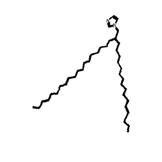 CCCCCCCCCCCCCCCCCCCC(CCCCCCCCCCCCCCCC)Cn1ccnc1